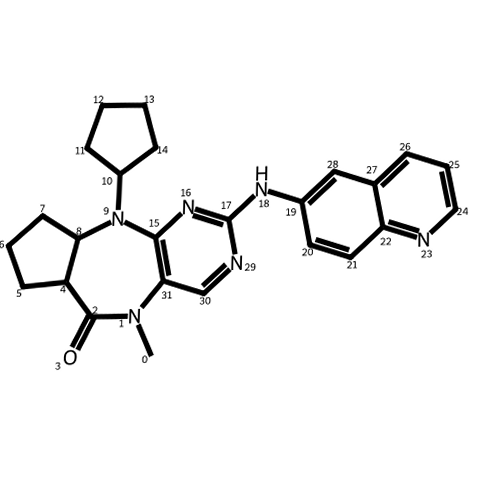 CN1C(=O)C2CCCC2N(C2CCCC2)c2nc(Nc3ccc4ncccc4c3)ncc21